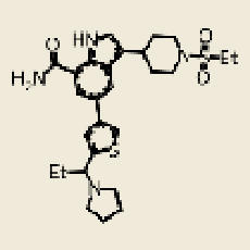 CCC(c1cc(-c2cc(C(N)=O)c3[nH]cc(C4CCN(S(=O)(=O)CC)CC4)c3c2)cs1)N1CCCC1